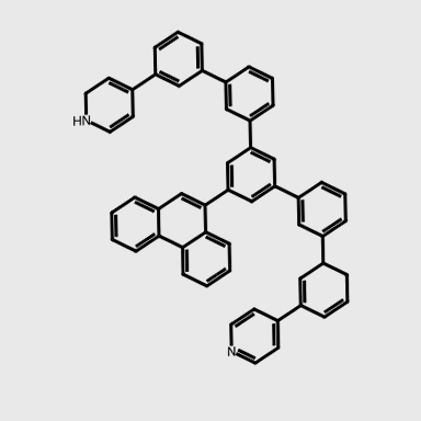 C1=CC(c2ccncc2)=CC(c2cccc(-c3cc(-c4cccc(-c5cccc(C6=CCNC=C6)c5)c4)cc(-c4cc5ccccc5c5ccccc45)c3)c2)C1